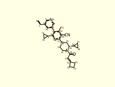 C=Cc1cncc(-c2c(C3CC3)nc(N3CCN(C(=O)C=C4CCC4)[C@H](C4CC4)C3)c(C#N)c2C)c1